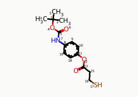 CC(C)(C)OC(=O)Nc1ccc(OC(=O)CCS)cc1